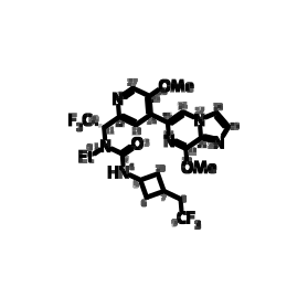 CCN(C(=O)NC1CC(CC(F)(F)F)C1)[C@@H](c1cc(-c2cn3ccnc3c(OC)n2)c(OC)cn1)C(F)(F)F